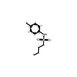 CCCCS(=O)(=O)Nc1ccc(C)cc1